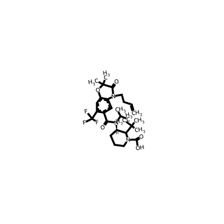 C=CCCN1C(=O)C(C)(C)Oc2cc(C(F)(F)F)c(C(=O)N(C(C)C)[C@@H]3CCCN(C(=O)O)C3C(C)(C)C)cc21